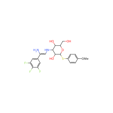 COc1ccc(SC2OC(CO)C(O)C(N/C=C(\N)c3cc(F)c(F)c(F)c3)C2O)cc1